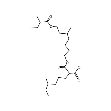 CCC(C)CCCC(C([O])=O)C(=O)OCCCCC(C)CCOC(=O)C(C)CC